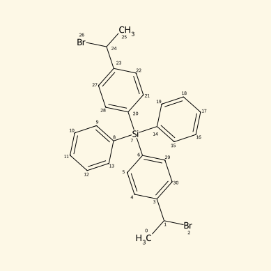 CC(Br)c1ccc([Si](c2ccccc2)(c2ccccc2)c2ccc(C(C)Br)cc2)cc1